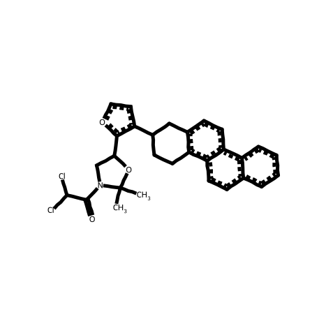 CC1(C)OC(c2occc2C2CCc3c(ccc4c3ccc3ccccc34)C2)CN1C(=O)C(Cl)Cl